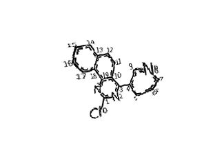 Clc1nc(-c2cccnc2)c2ccc3ccccc3c2n1